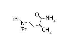 C=C(CCN(C(C)C)C(C)C)C(N)=O